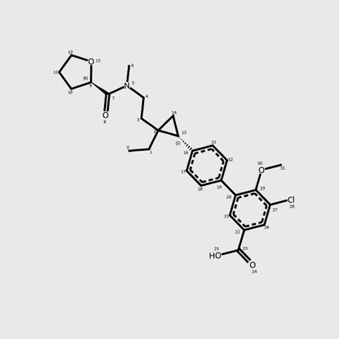 CCC1(CCN(C)C(=O)[C@H]2CCCO2)C[C@@H]1c1ccc(-c2cc(C(=O)O)cc(Cl)c2OC)cc1